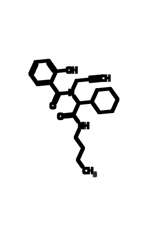 C#CCN(C(=O)c1ccccc1O)C(C(=O)NCCCC)C1CCCCC1